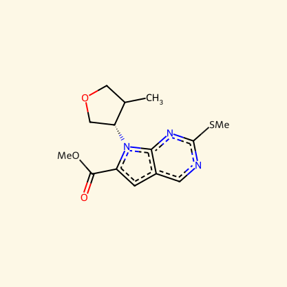 COC(=O)c1cc2cnc(SC)nc2n1[C@@H]1COCC1C